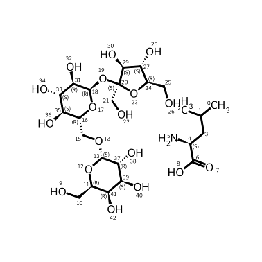 CC(C)C[C@H](N)C(=O)O.OC[C@H]1O[C@H](OC[C@H]2O[C@H](O[C@]3(CO)O[C@H](CO)[C@@H](O)[C@@H]3O)[C@H](O)[C@@H](O)[C@@H]2O)[C@H](O)[C@@H](O)[C@H]1O